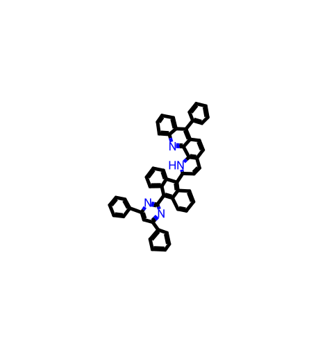 C1=CC(c2c3ccccc3c(-c3nc(-c4ccccc4)cc(-c4ccccc4)n3)c3ccccc23)Nc2c1ccc1c(-c3ccccc3)c3ccccc3nc21